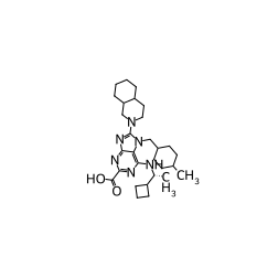 CC1CCC(Cn2c(N3CCC4CCCCC4C3)nc3nc(C(=O)O)nc(N[C@H](C)C4CCC4)c32)CC1